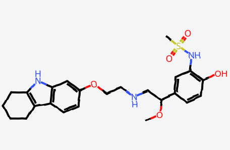 COC(CNCCOc1ccc2c3c([nH]c2c1)CCCC3)c1ccc(O)c(NS(C)(=O)=O)c1